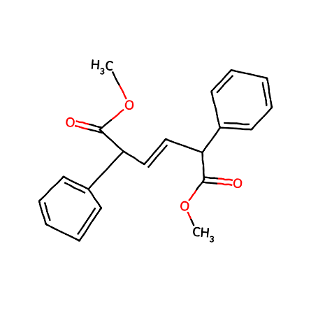 COC(=O)C(/C=C/C(C(=O)OC)c1ccccc1)c1ccccc1